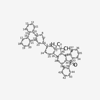 CC1(C)c2cc(-c3ccc4c5ccccc5c5ccccc5c4c3)ccc2-c2ccc(P(=O)(c3ccccc3)c3ccccc3)cc21